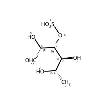 C[C@H](O)[C@H](O)[C@@H](OS(=O)(=O)O)[C@@H](O)C=O